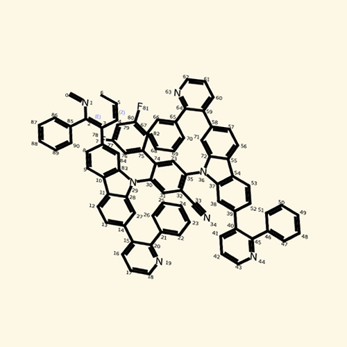 C=N/C(=C(\C=C/C)c1ccc2c3ccc(-c4cccnc4-c4ccccc4)cc3n(-c3cc(C#N)c(-n4c5cc(-c6cccnc6-c6ccccc6)ccc5c5ccc(-c6cccnc6-c6ccccc6)cc54)cc3-c3cc(F)cc(F)c3)c2c1)c1ccccc1